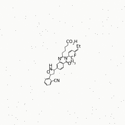 CC/C=C(F)\C=C/C(C)n1c(CCCCC(=O)O)nc2cc(C3CC(c4ccccc4C#N)ON3)ccc2c1=O